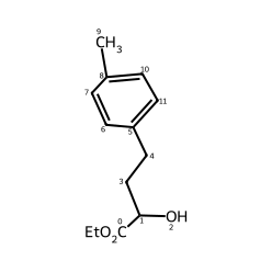 CCOC(=O)C(O)CCc1ccc(C)cc1